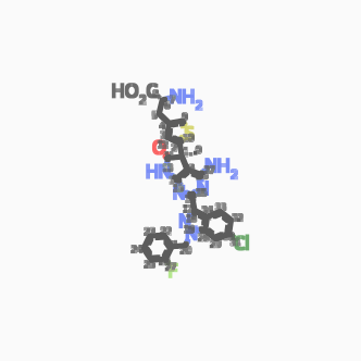 C[C@@]1(c2cc(C[C@@H](N)C(=O)O)cs2)C(=O)Nc2nc(-c3nn(Cc4ccccc4F)c4cc(Cl)ccc34)nc(N)c21